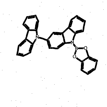 c1ccc2c(c1)OB(n1c3ccccc3c3cc(-n4c5ccccc5c5ccccc54)ccc31)O2